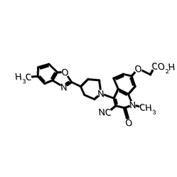 Cc1ccc2oc(C3CCN(c4c(C#N)c(=O)n(C)c5cc(OCC(=O)O)ccc45)CC3)nc2c1